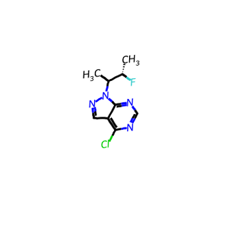 CC([C@H](C)F)n1ncc2c(Cl)ncnc21